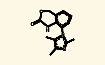 Cc1nc(C)n(-c2cccc3c2NC(=O)OC3)c1C